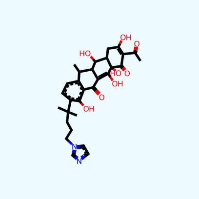 CC(=O)C1=C(O)CC2C(O)C3C(=C(O)C2(O)C1=O)C(=O)c1c(ccc(C(C)(C)CCCn2ccnc2)c1O)C3C